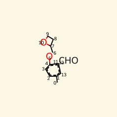 Cc1ccc(OCC2CCO2)c(C=O)c1